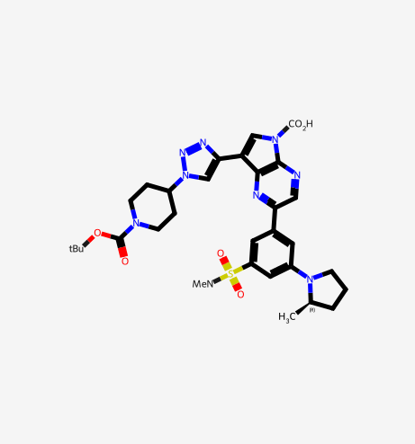 CNS(=O)(=O)c1cc(-c2cnc3c(n2)c(-c2cn(C4CCN(C(=O)OC(C)(C)C)CC4)nn2)cn3C(=O)O)cc(N2CCC[C@H]2C)c1